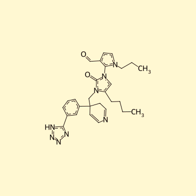 CCCCc1cn(-c2c(C=O)ccn2CCC)c(=O)n1CC1(c2cccc(-c3nnn[nH]3)c2)C=CN=CC1